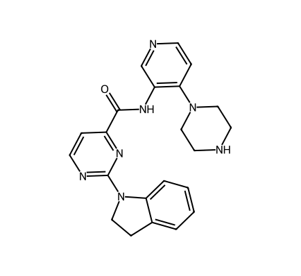 O=C(Nc1cnccc1N1CCNCC1)c1ccnc(N2CCc3ccccc32)n1